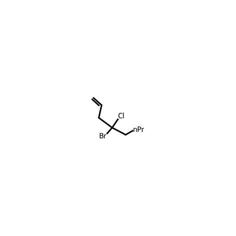 C=CCC(Cl)(Br)CCCC